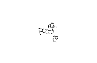 CC#Cc1nc(-c2cccc3cccc(Cl)c23)c(F)c2nc(OC[C@@]34CCCN3C[C@H](F)C4)nc(N3C[C@H]4CC[C@@H](C3)N4)c12